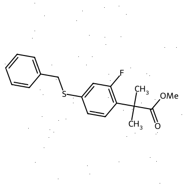 COC(=O)C(C)(C)c1ccc(SCc2ccccc2)cc1F